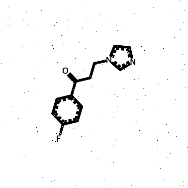 O=C(CCn1ccnc1)c1ccc(F)cc1